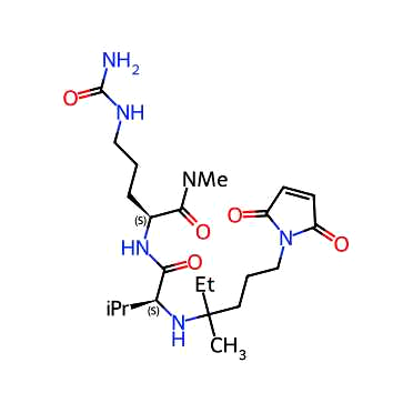 CCC(C)(CCCN1C(=O)C=CC1=O)N[C@H](C(=O)N[C@@H](CCCNC(N)=O)C(=O)NC)C(C)C